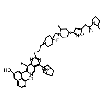 CCc1cccc2cc(O)cc(-c3ncc4c(N5CC6CCC(C5)N6)nc(OCCN5CCC(F)(CN6CCN(c7cc(CC(=O)N8CCCC8C)on7)CC6C)CC5)nc4c3F)c12